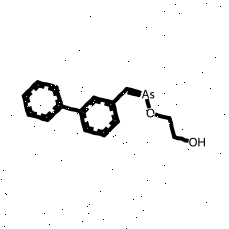 OCCO/[As]=C\c1cccc(-c2ccccc2)c1